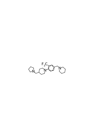 FC(F)(F)c1cc(CN2CCCCC2)ccc1N1CCC(CN2CCCC2)CC1